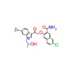 CC(O)Cn1cc(C(=O)COc2cc3ccc(Cl)cc3cc2C(N)=O)c2ccc(C3CC3)cc21